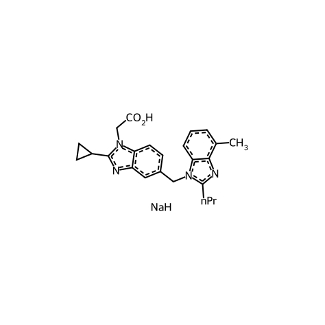 CCCc1nc2c(C)cccc2n1Cc1ccc2c(c1)nc(C1CC1)n2CC(=O)O.[NaH]